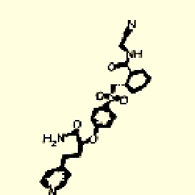 N#CCNC(=O)[C@H]1CCCC[C@@H]1CS(=O)(=O)c1ccc(OC(CCc2ccncc2)C(N)=O)cc1